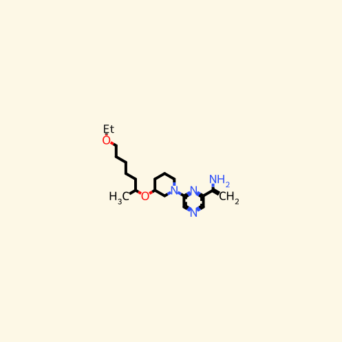 C=C(N)c1cncc(N2CCCC(OC(C)CCCCCOCC)C2)n1